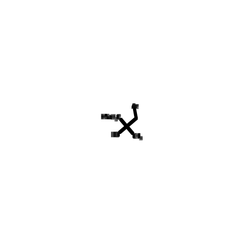 CC(=O)CC(C)(C)O.[NaH]